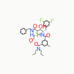 CCCN(CCC)C(=O)c1cc(C)cc(C(=O)N[C@@H](Cc2cc(F)cc(F)c2)[C@@H](O)[C@@H](SCCOC)C(=O)NCc2ccccc2)c1